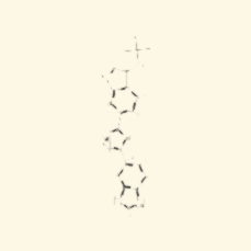 CC(C)(C)CC1C=Nc2cc(-c3cc(-c4ccc5nc[nH]c5c4)no3)ccc21